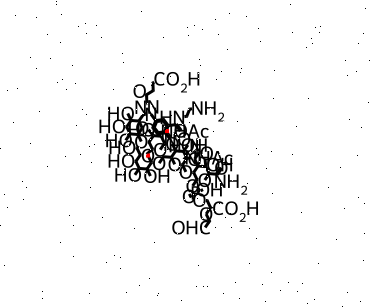 CC(=O)NC1C(OC2C(COC3OC(CO)C(O)C(O)C3O)OC(OC3C(OP(=O)(O)OC[C@@H](OCC=O)C(=O)O)OC(C(N)=O)C(C)(O)C3OC(N)=O)C(NC(C)=O)C2O)OC(C)C(OC2OC(c3nc(C(=O)CCC(=O)O)nn3-c3ccc([N+](=O)[O-])c(C(=O)NCCN)c3)C(O)C(O)C2O)C1O